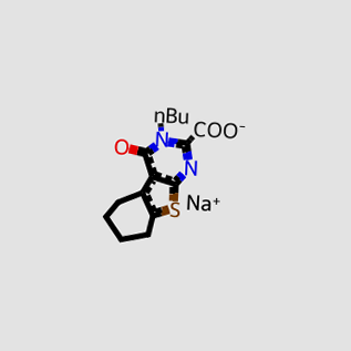 CCCCn1c(C(=O)[O-])nc2sc3c(c2c1=O)CCCC3.[Na+]